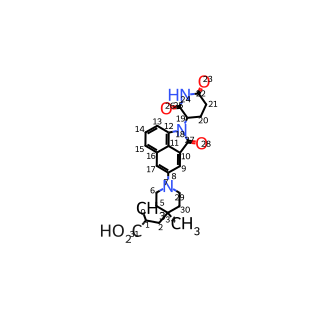 CC(CC1(C)CCN(c2cc3c4c(cccc4c2)N(C2CCC(=O)NC2=O)C3=O)CC1)C(=O)O